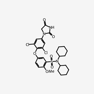 COc1ccc(Oc2c(Cl)cc(N3CC(=O)NC3=O)cc2Cl)cc1S(=O)(=O)N(C1CCCCC1)C1CCCCC1